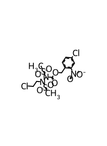 CS(=O)(=O)N(CCCl)N(C(=O)OCc1ccc(Cl)cc1[N+](=O)[O-])S(C)(=O)=O